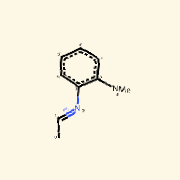 C/C=N/c1ccccc1NC